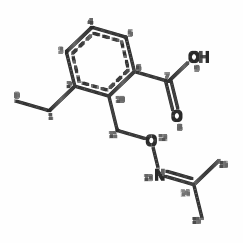 CCc1cccc(C(=O)O)c1CON=C(C)C